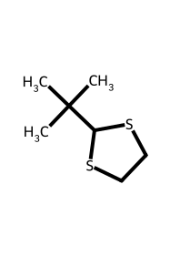 CC(C)(C)C1SCCS1